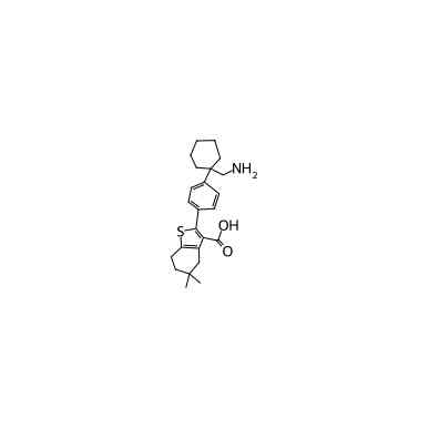 CC1(C)CCc2sc(-c3ccc(C4(CN)CCCCC4)cc3)c(C(=O)O)c2C1